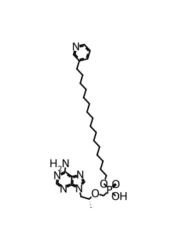 C[C@H](Cn1cnc2c(N)ncnc21)OCP(=O)(O)OCCCCCCCCCCCCCCCCc1cccnc1